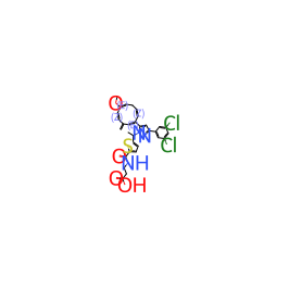 C=C1/C=C\C(OC)=C/C/C=C\C(c2cc(-c3cc(Cl)cc(Cl)c3)nn2C(C)c2ccc(C(=O)NCCC(=O)O)s2)=C/1